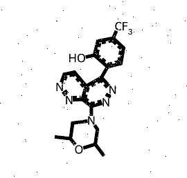 CC1CN(c2nnc(-c3ccc(C(F)(F)F)cc3O)c3ccnnc23)CC(C)O1